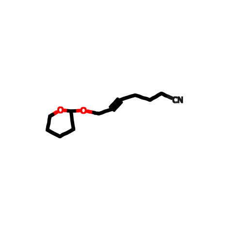 N#CCCCC#CCOC1CCCCO1